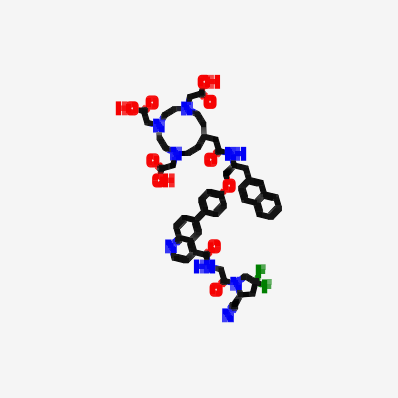 N#C[C@@H]1CC(F)(F)CN1C(=O)CNC(=O)c1ccnc2ccc(-c3ccc(OC[C@H](Cc4ccc5ccccc5c4)NC(=O)CC4CCN(CC(=O)O)CCN(CC(=O)O)CCN(CC(=O)O)CC4)cc3)cc12